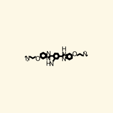 CN(C)CCCOc1ccc2nc(-c3ccc(-c4nc5ccc(OCCCN(C)C)cc5[nH]4)c(C#N)c3)[nH]c2c1